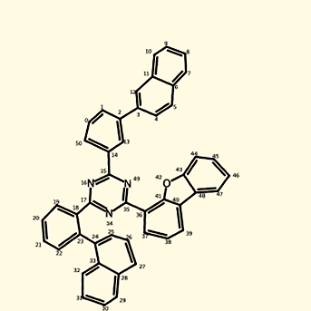 c1cc(-c2ccc3ccccc3c2)cc(-c2nc(-c3ccccc3-c3cccc4ccccc34)nc(-c3cccc4c3oc3ccccc34)n2)c1